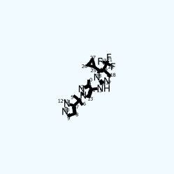 Cc1nn(C(C)(C)c2ccnn2C)cc1Nc1ncc(C(F)(F)F)c(C2CC2)n1